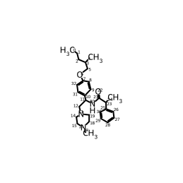 CCCC(C)COc1ccc(C(CN2CCN(C)CC2)NC(=O)C(C)c2ccccc2)cc1